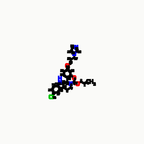 C=CCOC(=O)N1CCc2c([nH]c3ccc(Cl)cc23)C1c1ccc(OCCCn2ccnc2)cc1